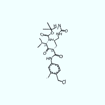 [CH2]c1cc(NC(=O)[C@@H](CCCNC(N)=O)C(=O)[C@@H](NC(=O)OC(C)(C)C)C(C)C)ccc1CCl